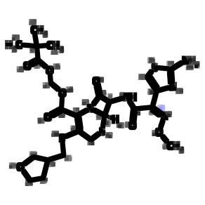 CO/N=C(\C(=O)NC1C(=O)N2C(C(=O)OCOC(=O)C(C)(C)C)=C(SCC3CCOC3)CS[C@H]12)c1csc(N)n1